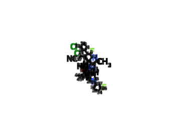 Cc1nc2c(F)c(-c3cccc(Cl)c3Cl)c(CCC#N)cc2c2c1cc([C@H]1[C@H]3C[C@H](CN(c4cccc(F)c4)C3)N1C(=O)C1CC1)n2[C@H]1[C@H]2CN[C@@H]1C2